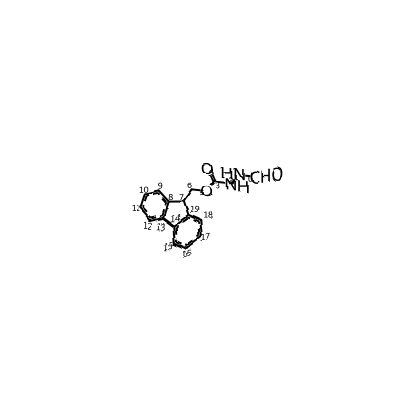 O=CNNC(=O)OCC1c2ccccc2-c2ccccc21